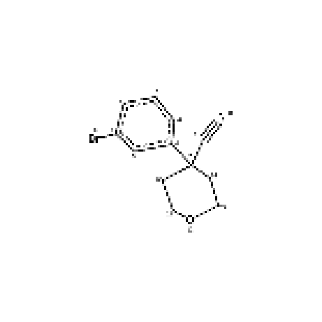 N#CC1(c2cccc(Br)c2)CCOCC1